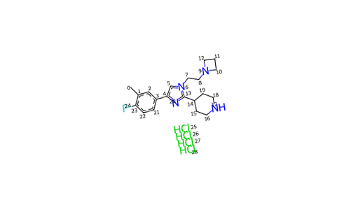 Cc1cc(-c2cn(CCN3CCC3)c(C3CCNCC3)n2)ccc1F.Cl.Cl.Cl.Cl